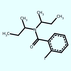 CCC(C)N(C(=O)c1ccccc1I)C(C)CC